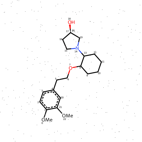 [13CH3]Oc1ccc(CCOC2CCCCC2N2CC[C@@H](O)C2)cc1O[13CH3]